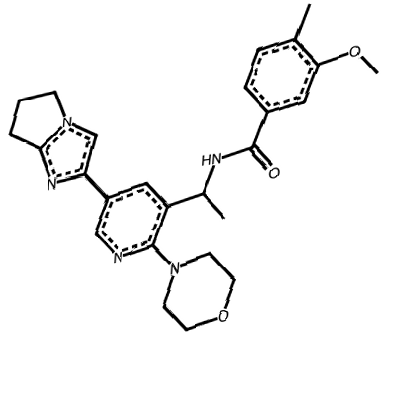 COc1cc(C(=O)NC(C)c2cc(-c3cn4c(n3)CCC4)cnc2N2CCOCC2)ccc1C